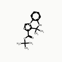 CC(C)(C)OC(=O)c1ncn2c1C(C)(C)Nc1ccccc1-2